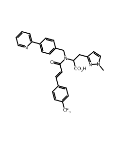 Cn1ccc(CC(C(=O)O)N(Cc2ccc(-c3ccccn3)cc2)C(=O)C=Cc2ccc(C(F)(F)F)cc2)n1